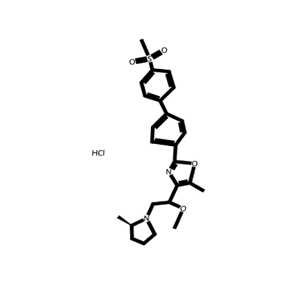 COC(CN1CCC[C@H]1C)c1nc(-c2ccc(-c3ccc(S(C)(=O)=O)cc3)cc2)oc1C.Cl